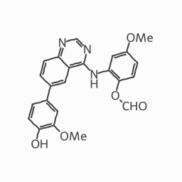 COc1ccc(OC=O)c(Nc2ncnc3ccc(-c4ccc(O)c(OC)c4)cc23)c1